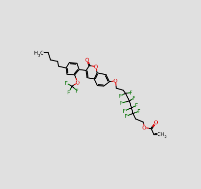 C=CC(=O)OCCC(F)(F)C(F)(F)C(F)(F)C(F)(F)CCOc1ccc2cc(-c3ccc(CCCCC)cc3OC(F)(F)F)c(=O)oc2c1